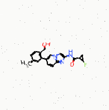 Cc1ccc(CO)c(-c2ccc3nc(NC(=O)C4CC4F)cn3c2)c1